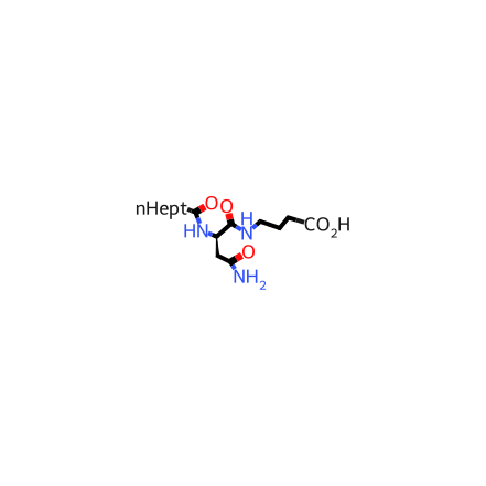 CCCCCCCC(=O)N[C@H](CC(N)=O)C(=O)NCCCC(=O)O